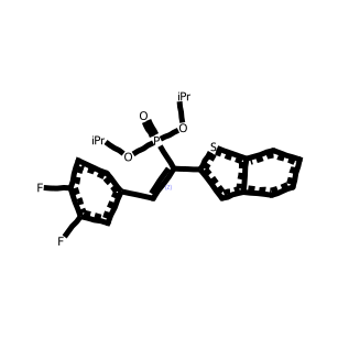 CC(C)OP(=O)(OC(C)C)/C(=C\c1ccc(F)c(F)c1)c1cc2ccccc2s1